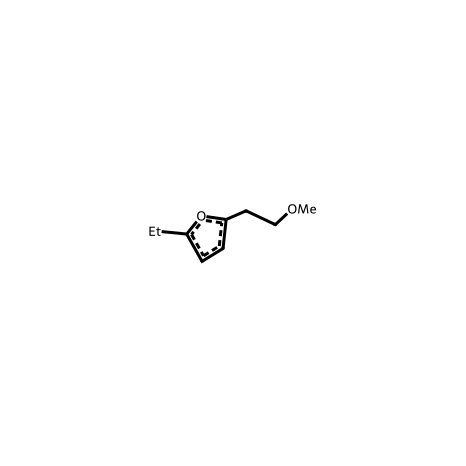 CCc1ccc(CCOC)o1